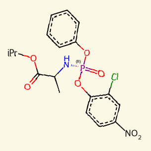 CC(C)OC(=O)C(C)N[P@@](=O)(Oc1ccccc1)Oc1ccc([N+](=O)[O-])cc1Cl